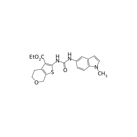 CCOC(=O)c1c(NC(=O)Nc2ccc3c(ccn3C)c2)sc2c1CCOC2